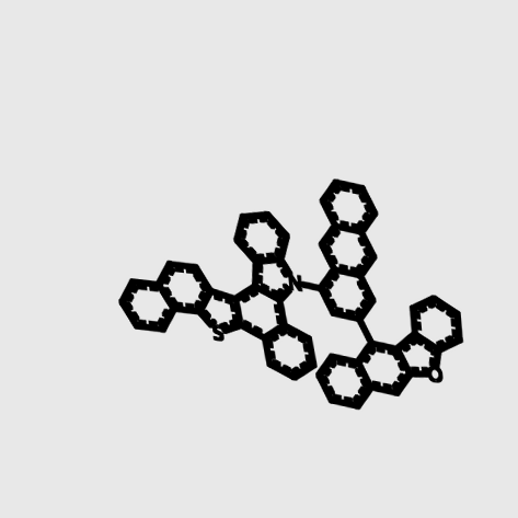 c1ccc2cc3c(-n4c5ccccc5c5c6c7ccc8ccccc8c7sc6c6ccccc6c54)cc(-c4c5ccccc5cc5oc6ccccc6c45)cc3cc2c1